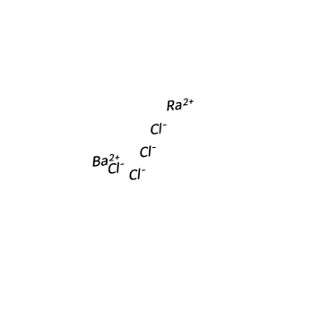 [Ba+2].[Cl-].[Cl-].[Cl-].[Cl-].[Ra+2]